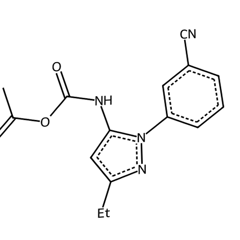 C=C(C)OC(=O)Nc1cc(CC)nn1-c1cccc(C#N)c1